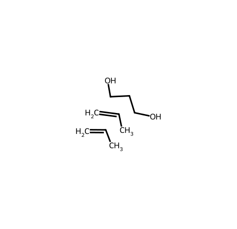 C=CC.C=CC.OCCCO